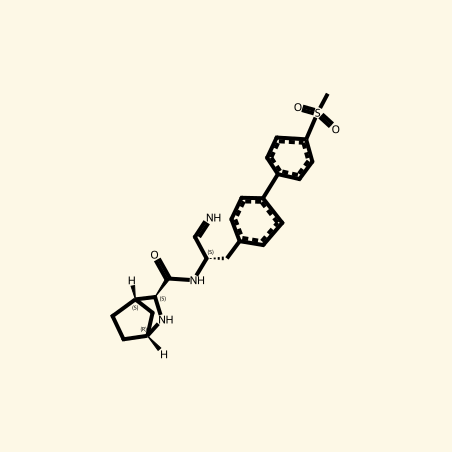 CS(=O)(=O)c1ccc(-c2ccc(C[C@@H](C=N)NC(=O)[C@H]3N[C@@H]4CC[C@H]3C4)cc2)cc1